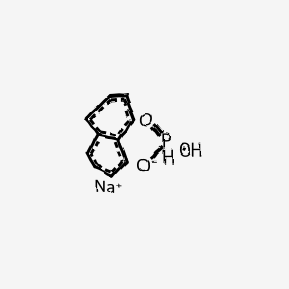 O=[PH]([O-])O.[Na+].c1ccc2ccccc2c1